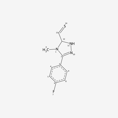 CN1C(c2ccc(F)cc2)=NNC1C=S